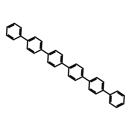 c1ccc(-c2ccc(-c3ccc(-c4ccc(-c5ccc(-c6ccccc6)cc5)cc4)cc3)cc2)cc1